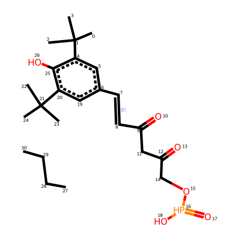 CC(C)(C)c1cc(/C=C/C(=O)CC(=O)CO[PH](=O)O)cc(C(C)(C)C)c1O.CCCC